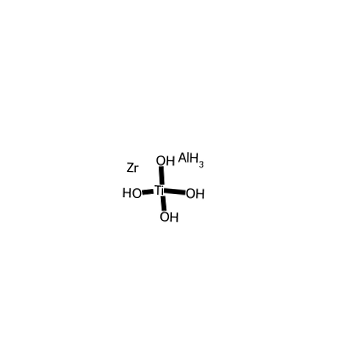 [AlH3].[OH][Ti]([OH])([OH])[OH].[Zr]